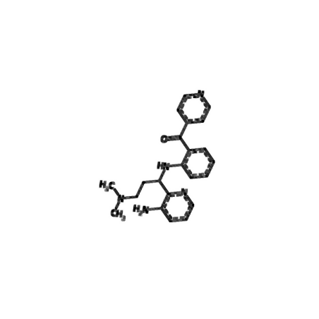 CN(C)CCC(Nc1ccccc1C(=O)c1ccncc1)c1ncccc1N